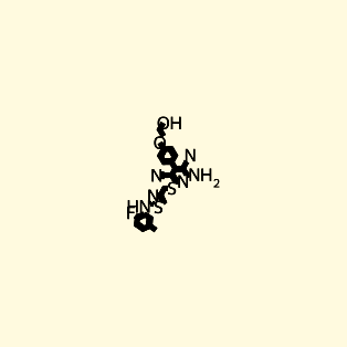 Cc1ccc(F)c(Nc2nc(CSc3nc(N)c(C#N)c(-c4ccc(OCCO)cc4)c3C#N)cs2)c1